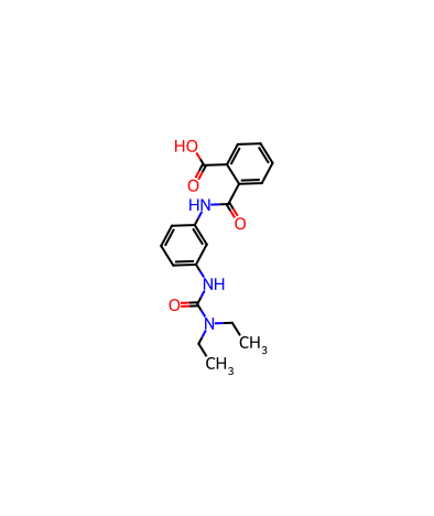 CCN(CC)C(=O)Nc1cccc(NC(=O)c2ccccc2C(=O)O)c1